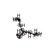 N=C1NC2CSC(CCCCC(=O)NCCCCCC(=O)Nc3cc(NC(=O)CCCCCNC(=O)CCCCC4SCC5NC(=N)NC54)cc(C(=O)NCCC(=O)N4Cc5ccccc5C#Cc5ccccc54)c3)C2N1